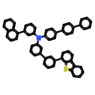 c1ccc(-c2ccc(-c3ccc(N(c4cccc(-c5cccc(-c6cccc7c6sc6ccccc67)c5)c4)c4cccc(-c5cccc6ccccc56)c4)cc3)cc2)cc1